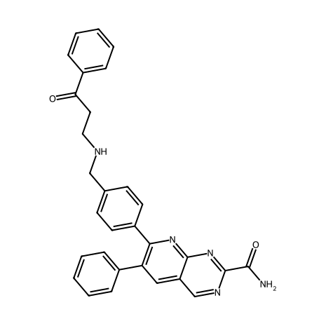 NC(=O)c1ncc2cc(-c3ccccc3)c(-c3ccc(CNCCC(=O)c4ccccc4)cc3)nc2n1